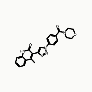 Cc1c(-c2cn(-c3ccc(C(=O)N4CCOCC4)cc3)nn2)c(=O)[nH]c2ccccc12